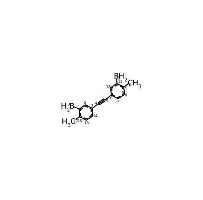 Bc1cc(C#Cc2ccc(C)c(B)c2)ccc1C